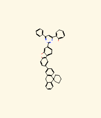 OC1=CC=CCC=C1c1cc(-c2ccccc2)nc(-c2ccc3c(c2)oc2ccc(-c4ccc5c(c4)Cc4ccccc4C54CCCCC4)cc23)n1